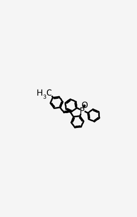 Cc1ccc(/C=C/c2ccccc2P(=O)(c2ccccc2)c2ccccc2)cc1